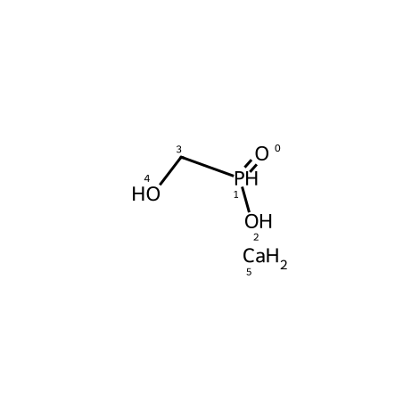 O=[PH](O)CO.[CaH2]